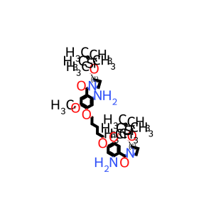 COc1cc(C(=O)N2CC[C@H]2CO[Si](C)(C)C(C)(C)C)c(N)cc1OCCCCCOc1cc(N)c(C(=O)N2CC[C@H]2CO[Si](C)(C)C(C)(C)C)cc1OC